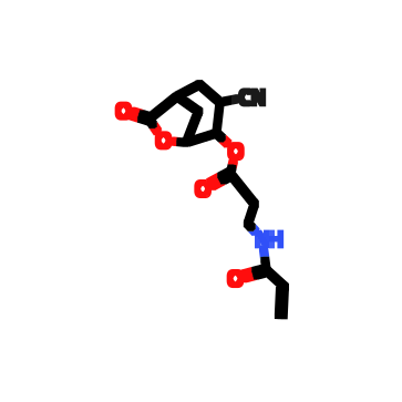 C=CC(=O)NCCC(=O)OC1C(C#N)CC2CC1OC2=O